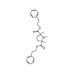 CN1C(C)(C(=O)OCCc2ccccc2)CCC1(C)C(=O)OCCc1ccccc1